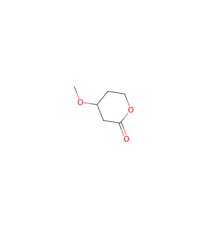 COC1CCOC(=O)C1